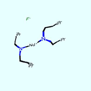 CC(C)C[N](CC(C)C)[Nd+][N](CC(C)C)CC(C)C.[F-]